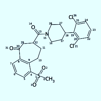 CS(=O)(=O)c1cccc2c1CCC(C(=O)N1CCC(c3c(Cl)cccc3Cl)CC1)CC2=O